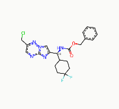 O=C(N[C@H](c1cn2nc(CCl)cnc2n1)C1CCC(F)(F)CC1)OCc1ccccc1